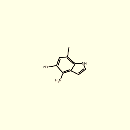 CCCc1cc(C)c2[nH]ccc2c1N